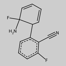 N#Cc1c(F)cccc1C1C=CC=CC1(N)F